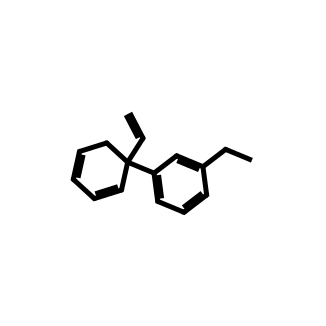 C=CC1(c2cccc(CC)c2)C=CC=CC1